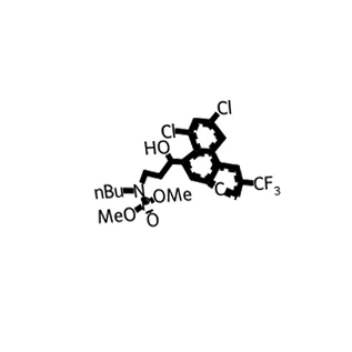 CCCCN(CCC(O)c1cc2ccc(C(F)(F)F)cc2c2cc(Cl)cc(Cl)c12)P(=O)(OC)OC